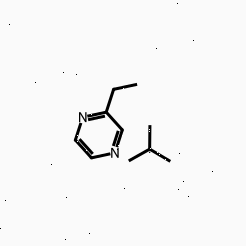 CCc1cnccn1.C[C](C)C